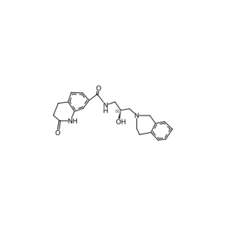 O=C1CCc2ccc(C(=O)NC[C@H](O)CN3CCc4ccccc4C3)cc2N1